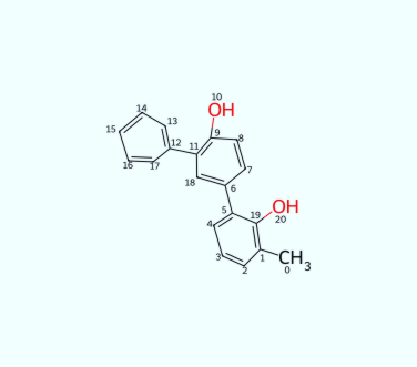 Cc1cccc(-c2ccc(O)c(-c3ccccc3)c2)c1O